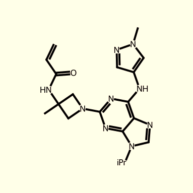 C=CC(=O)NC1(C)CN(c2nc(Nc3cnn(C)c3)c3ncn(C(C)C)c3n2)C1